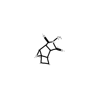 CN1C(=O)C2C(C1=O)C1OC13CCC23